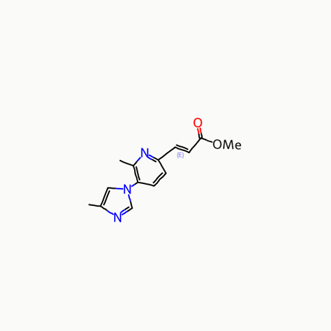 COC(=O)/C=C/c1ccc(-n2cnc(C)c2)c(C)n1